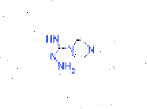 CN1CCN(C(=N)N(C)N)CC1